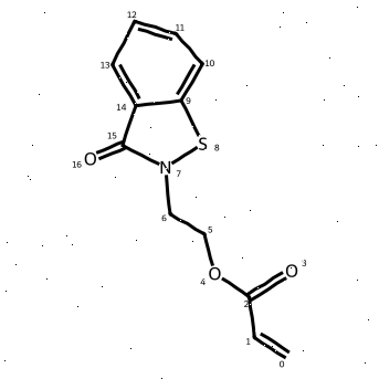 C=CC(=O)OCCn1sc2ccccc2c1=O